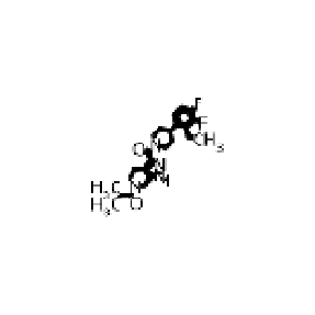 CCc1c(C2CCN(C(=O)c3nn(I)c4c3CCN(C(=O)C(C)C)C4)CC2)ccc(F)c1F